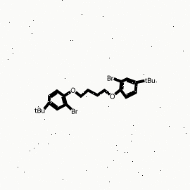 CC(C)(C)c1ccc(OCCCCOc2ccc(C(C)(C)C)cc2Br)c(Br)c1